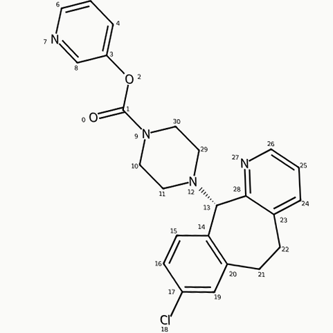 O=C(Oc1cccnc1)N1CCN([C@H]2c3ccc(Cl)cc3CCc3cccnc32)CC1